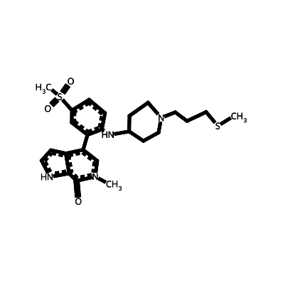 CSCCCN1CCC(Nc2ccc(S(C)(=O)=O)cc2-c2cn(C)c(=O)c3[nH]ccc23)CC1